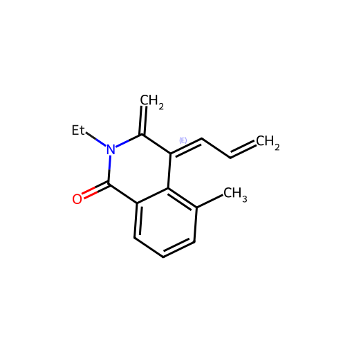 C=C/C=c1/c(=C)n(CC)c(=O)c2cccc(C)c12